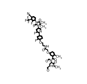 CNC(=O)C(CCC=O)N(C=O)C(=O)c1cc(OCC(=O)NCCOc2ccc(-c3ncc(N4C(=S)N(c5ccc(C#N)c(C(F)(F)F)c5F)C(=O)C4(C)C)cc3F)cc2F)ccc1C